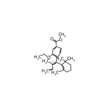 C=C/C(C)=C(\C1=C(C)CCCC1(C)C)c1ccc(C(=O)OC)cc1OCC